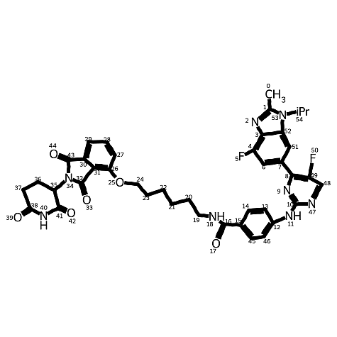 Cc1nc2c(F)cc(-c3nc(Nc4ccc(C(=O)NCCCCCCOc5cccc6c5C(=O)N(C5CCC(=O)NC5=O)C6=O)cc4)ncc3F)cc2n1C(C)C